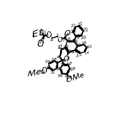 CCC(=O)OCCOC(=O)c1c2c(c3ccccc3c1-c1ccccc1)OC(c1ccc(OC)cc1)(c1ccc(OC)cc1)C=C2